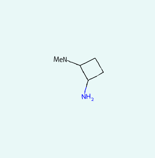 CNC1CCC1N